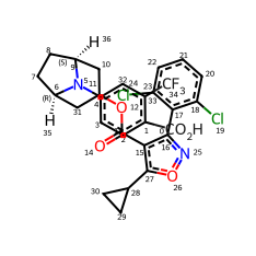 O=C(O)c1ccc(N2[C@@H]3CC[C@H]2CC(OC(=O)c2c(-c4c(Cl)cccc4Cl)noc2C2CC2)C3)cc1C(F)(F)F